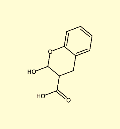 O=C(O)C1Cc2ccccc2OC1O